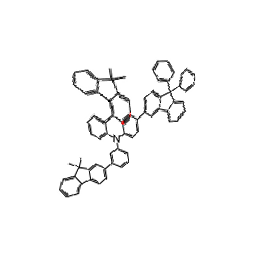 CC1(C)c2ccccc2-c2ccc(-c3cccc(N(c4ccc(-c5ccc6c(c5)-c5ccccc5C6(c5ccccc5)c5ccccc5)cc4)c4ccccc4-c4cccc5c4-c4ccccc4C5(C)C)c3)cc21